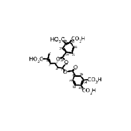 CC(=CCCC(OC(=O)c1ccc(C(=O)O)c(C(=O)O)c1)OC(=O)c1ccc(C(=O)O)c(C(=O)O)c1)C(=O)O